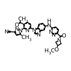 COC1CN(C(=O)c2ccc(Nc3ccc4c(c3)ncn4-c3ccc(C(C)=O)c(-n4nc(C#N)cc4C)n3)nn2)C1